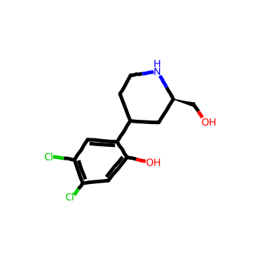 OC[C@H]1CC(c2cc(Cl)c(Cl)cc2O)CCN1